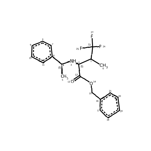 CC([C@H](N[C@@H](C)c1ccccc1)C(=O)OCc1ccccc1)C(F)(F)F